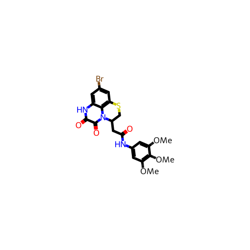 COc1cc(NC(=O)CC2CSc3cc(Br)cc4[nH]c(=O)c(=O)n2c34)cc(OC)c1OC